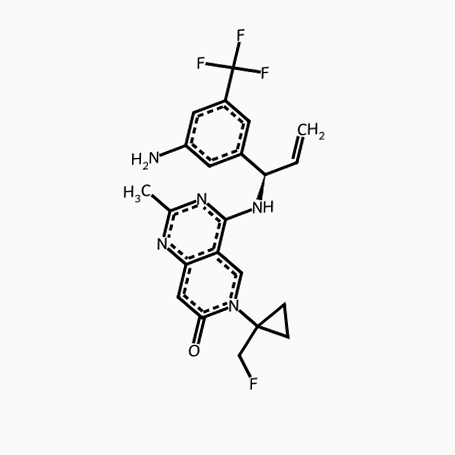 C=C[C@@H](Nc1nc(C)nc2cc(=O)n(C3(CF)CC3)cc12)c1cc(N)cc(C(F)(F)F)c1